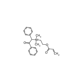 C=CC(=O)OCC[N+](C)(C)C(C(=O)c1ccccc1)c1ccccc1